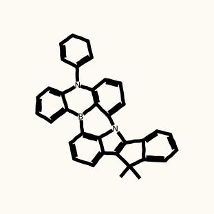 CC1(C)c2ccccc2-c2c1c1cccc3c1n2-c1cccc2c1B3c1ccccc1N2C1=CCCC=C1